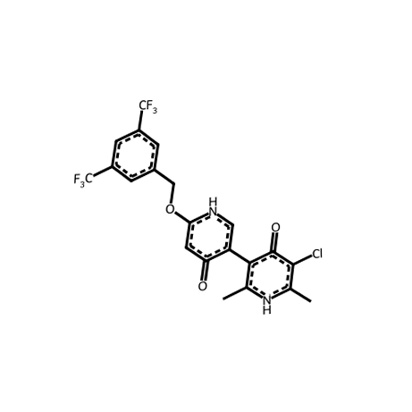 Cc1[nH]c(C)c(-c2c[nH]c(OCc3cc(C(F)(F)F)cc(C(F)(F)F)c3)cc2=O)c(=O)c1Cl